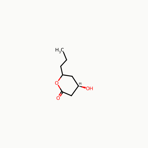 CCCC1C[C@@H](O)CC(=O)O1